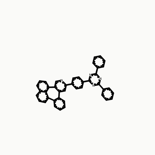 c1ccc(-c2nc(-c3ccccc3)nc(-c3ccc(-c4cc5c(cn4)-c4cccc6cccc(c46)-c4ccccc4-5)cc3)n2)cc1